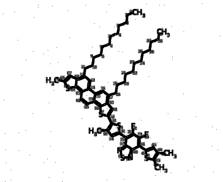 CCCCCCCCCCCCc1cc2c3cc(CCCCCCCCCCCC)c4cc(-c5sc(-c6c(F)c(F)c(-c7cc(C)c(C)s7)c7nsnc67)cc5C)sc4c3ccc2c2sc(C)cc12